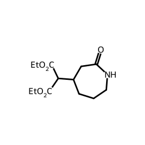 CCOC(=O)C(C(=O)OCC)C1CCCNC(=O)C1